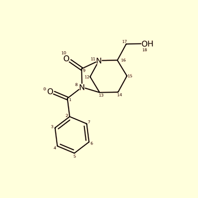 O=C(c1ccccc1)N1C(=O)N2CC1CCC2CO